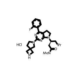 CNC(=O)C[C@H](CC(C)C)N1CCc2c(-c3ccccc3F)nc(N3CCC4(CNC4)C3)nc21.Cl